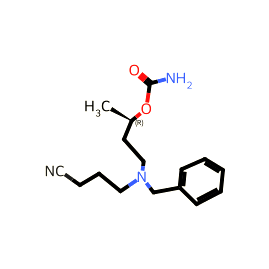 C[C@H](CCN(CCCC#N)Cc1ccccc1)OC(N)=O